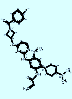 C=CC(=O)Nc1cc(Nc2nccc(OC3CN(C(=O)c4ccc(F)cc4)C3)n2)c(OC)cc1N1CCC(N(C)C)CC1